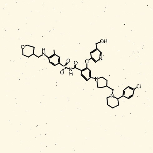 Cc1cc(S(=O)(=O)NC(=O)c2ccc(N3CCC(CN4CCCCC4c4ccc(Cl)cc4)CC3)cc2Oc2cncc(CO)c2)ccc1NCC1CCOCC1